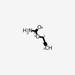 C#CCOC(N)=O